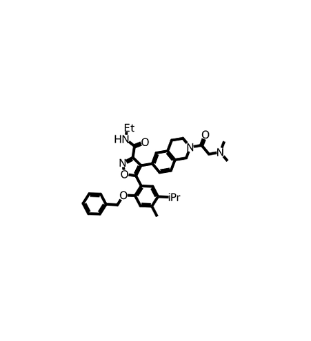 CCNC(=O)c1noc(-c2cc(C(C)C)c(C)cc2OCc2ccccc2)c1-c1ccc2c(c1)CCN(C(=O)CN(C)C)C2